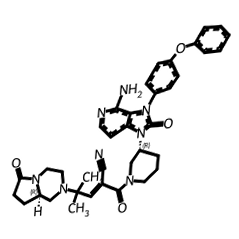 CC(C)(C=C(C#N)C(=O)N1CCC[C@@H](n2c(=O)n(-c3ccc(Oc4ccccc4)cc3)c3c(N)nccc32)C1)N1CCN2C(=O)CC[C@@H]2C1